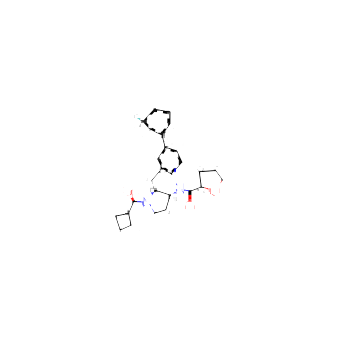 O=C(N[C@H]1CCN(C(=O)C2CCC2)[C@H]1Cc1cccc(-c2cccc(F)c2)c1)C1CCCO1